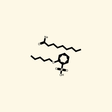 CCCCCCCC[C](=O)[Na].CCCCCOc1ccccc1S(=O)(=O)O